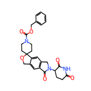 O=C1CCC(N2Cc3cc4c(cc3C2=O)COC42CCN(C(=O)OCc3ccccc3)CC2)C(=O)N1